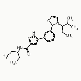 CCC(CC)NC(=O)c1cc(-c2cccc(C3OC=CN3C(CC)C(C)C)c2)[nH]n1